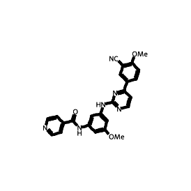 COc1cc(NC(=O)c2ccncc2)cc(Nc2nccc(-c3ccc(OC)c(C#N)c3)n2)c1